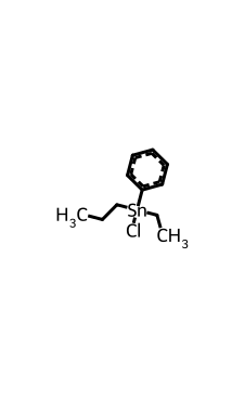 CC[CH2][Sn]([Cl])([CH2]C)[c]1ccccc1